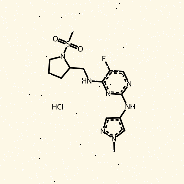 Cl.Cn1cc(Nc2ncc(F)c(NCC3CCCN3S(C)(=O)=O)n2)cn1